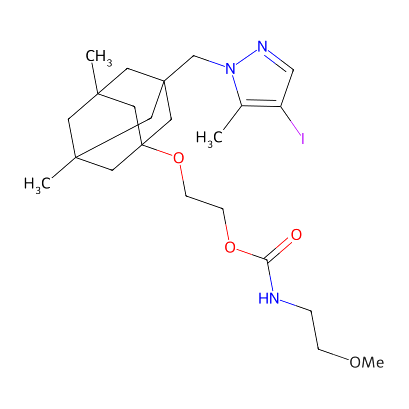 COCCNC(=O)OCCOC12CC3(C)CC(C)(CC(Cn4ncc(I)c4C)(C3)C1)C2